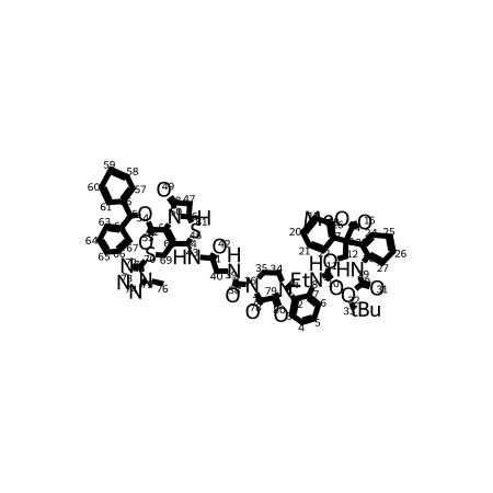 CC[N+]1(c2ccccc2NC(=O)OCC(C(=O)OC)(c2ccccc2)c2ccccc2NC(=O)OC(C)(C)C)CCN(C(=O)NCC(=O)N[C@@H]2S[C@H]3CC(=O)N3C(C(=O)OC(c3ccccc3)c3ccccc3)=C2CSc2nnnn2C)C(=O)C1=O